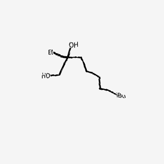 CCC(C)CCCCC(O)(CC)CO